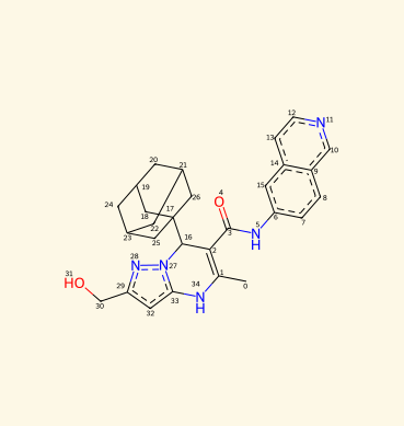 CC1=C(C(=O)Nc2ccc3cnccc3c2)C(C23CC4CC(CC(C4)C2)C3)n2nc(CO)cc2N1